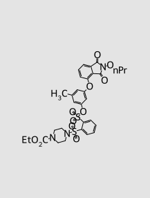 CCCON1C(=O)c2cccc(Oc3cc(C)cc(OS(=O)(=O)c4ccccc4S(=O)(=O)N4CCN(C(=O)OCC)CC4)c3)c2C1=O